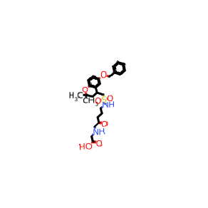 CC1(C)CC(CS(=O)(=O)NCCCC(=O)CNCC(=O)O)c2cc(OCc3ccccc3)ccc2O1